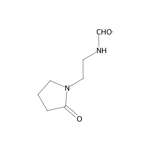 O=[C]NCCN1CCCC1=O